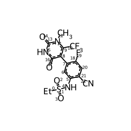 CCS(=O)(=O)Nc1cc(-c2c(C(F)(F)F)n(C)c(=O)[nH]c2=O)c(F)cc1C#N